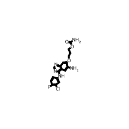 NC(=O)OCCCOc1cc2ncnc(Nc3ccc(F)c(Cl)c3)c2cc1N